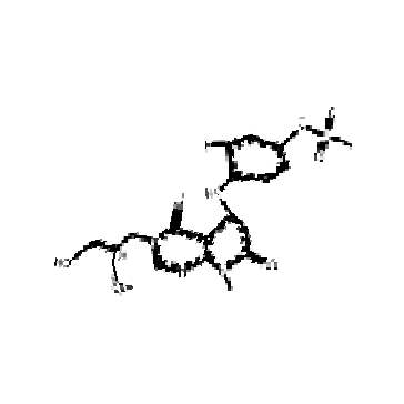 Cn1c(=O)cc(Nc2ccc(NS(C)(=O)=O)cc2F)c2c(=O)n(C[C@@H](O)CO)cnc21